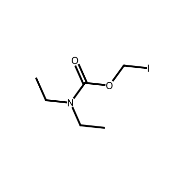 CCN(CC)C(=O)OCI